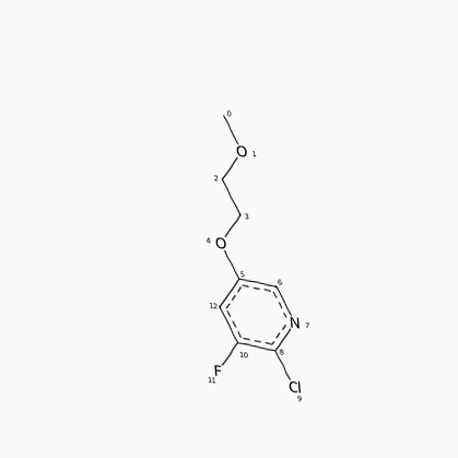 COCCOc1cnc(Cl)c(F)c1